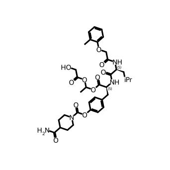 Cc1ccccc1OCC(=O)N[C@@H](CC(C)C)C(=O)N[C@@H](Cc1ccc(OC(=O)N2CCC(C(N)=O)CC2)cc1)C(=O)OC(C)OC(=O)CO